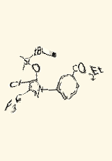 CCOC(=O)c1cccc(-n2nc(C(F)(F)F)c(Cl)c2O[Si](C)(C)C(C)(C)C)c1